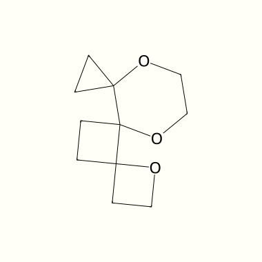 C1COC2(CCC23CCO3)C2(CC2)O1